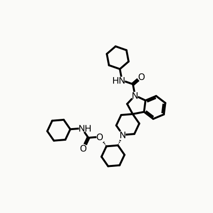 O=C(NC1CCCCC1)O[C@H]1CCCC[C@H]1N1CCC2(CC1)CN(C(=O)NC1CCCCC1)c1ccccc12